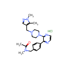 CC(=O)N(C)Cc1ccc(-c2nccnc2N2CCN(Cc3cnn(C)c3C)CC2)cc1.Cl